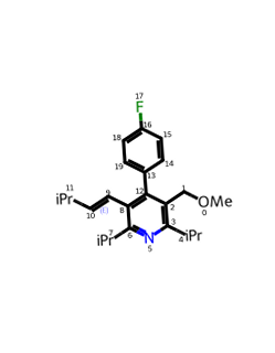 COCc1c(C(C)C)nc(C(C)C)c(/C=C/C(C)C)c1-c1ccc(F)cc1